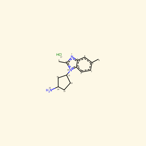 Cc1ccc2c(c1)nc(C)n2C1CCC(N)C1.Cl